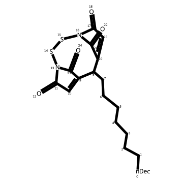 CCCCCCCCCCCCCCCCCC1C2=CC(=O)N(SSN3C(=O)C=C1C3=O)C2=O